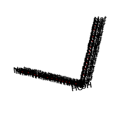 OB(O)O.[Na+].[Na+].[Na+].[Na+].[Na+].[Na+].[Na+].[Na+].[Na+].[Na+].[Na+].[Na+].[Na+].[Na+].[Na+].[Na+].[Na+].[Na+].[Na+].[Na+].[Na+].[Na+].[Na+].[Na+].[Na+].[Na+].[Na+].[Na+].[Na+].[Na+].[Na+].[Na+].[Na+].[Na+].[Na+].[Na+].[Na+].[Na+].[Na+].[Na+].[Na+].[Na+].[Na+].[Na+].[Na+].[Na+].[Na+].[Na+].[Na+].[Na+].[Na+].[Na+].[Na+].[Na+].[Na+].[Na+].[Na+].[Na+].[Na+].[Na+].[Na+].[Na+].[Na+].[Na+].[Na+].[Na+].[Na+].[Na+].[Na+].[Na+].[Na+].[Na+].[Na+].[Na+].[Na+].[Na+].[Na+].[Na+].[Na+].[Na+].[Na+].[Na+]